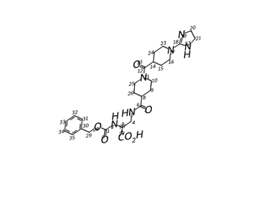 O=C(N[C@@H](CNC(=O)C1CCN(C(=O)C2CCN(C3=NCCN3)CC2)CC1)C(=O)O)OCc1ccccc1